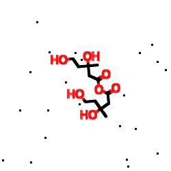 CC(O)(CCO)CC(=O)OC(=O)CC(C)(O)CCO